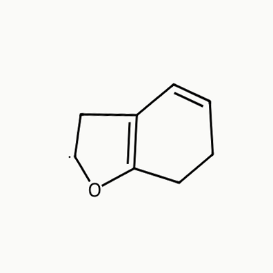 [CH]1CC2=C(CCC=C2)O1